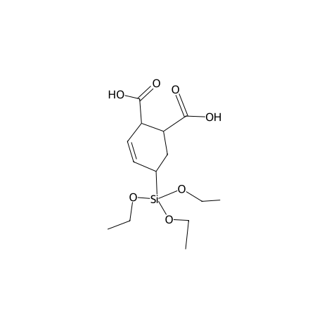 CCO[Si](OCC)(OCC)C1C=CC(C(=O)O)C(C(=O)O)C1